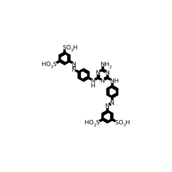 Nc1nc(Nc2ccc(N=Nc3cc(S(=O)(=O)O)cc(S(=O)(=O)O)c3)cc2)nc(Nc2ccc(N=Nc3cc(S(=O)(=O)O)cc(S(=O)(=O)O)c3)cc2)n1